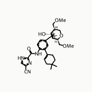 COC[C@]12C=C[C@](COC)(C[C@@](O)(c3ccc(NC(=O)c4nc(C#N)c[nH]4)c(C4=CCC(C)(C)CC4)c3)C1)OC2